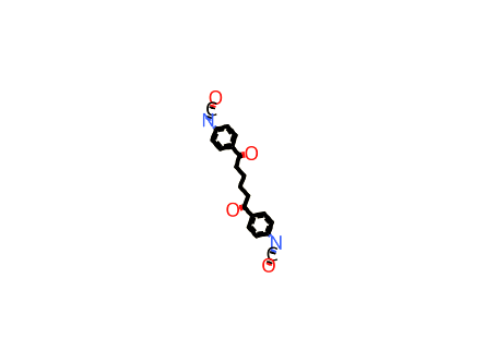 O=C=Nc1ccc(C(=O)CCCCC(=O)c2ccc(N=C=O)cc2)cc1